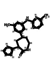 Cc1cc(Nc2nccc(C(F)(F)F)n2)cc(C2CCNC(=O)C(c3nccs3)C2)c1